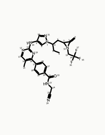 C=C1C(CC(CC)n2cc(Nc3ncc(C)c(-c4ccc(C(=O)NCC#N)cc4)n3)cn2)N1CC(F)(F)F